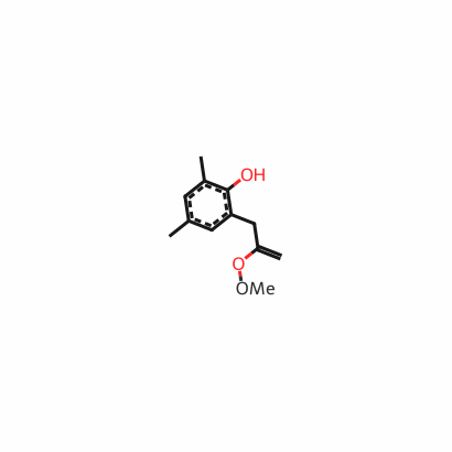 C=C(Cc1cc(C)cc(C)c1O)OOC